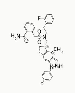 C[C@H]1C2=CNN(c3ccc(F)cc3)C2=CC2=C1[C@@H](CN(CCc1ccccc1F)S(=O)(=O)Cc1ccccc1C(N)=O)CC2